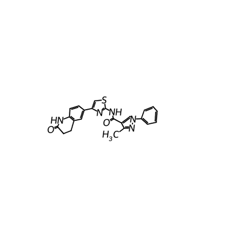 Cc1nn(-c2ccccc2)cc1C(=O)Nc1nc(-c2ccc3c(c2)CCC(=O)N3)cs1